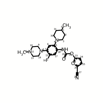 CC1CCN(c2cc(N3CCN(C)CC3)c(F)cc2NC(=O)Oc2ccc(C#N)o2)CC1